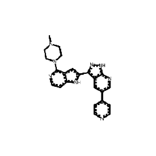 CN1CCN(c2nccc3[nH]c(-c4n[nH]c5ncc(-c6ccncc6)cc45)cc23)CC1